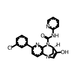 O=C(Nc1ccccn1)N1c2nc(-c3cccc(Cl)c3)ccc2N2C=C(O)[C@H]1C2